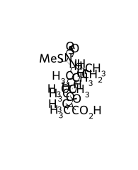 C=C(C)[C@@H]1CC[C@]2(NC[C@H](CSC)N3CCS(=O)(=O)CC3)CC[C@]3(C)[C@H](CC[C@@H]4[C@@]5(C)CC[C@H](OC(=O)[C@H]6[C@@H](C(=O)O)C6(C)C)C(C)(C)[C@@H]5CC[C@]43C)[C@@H]12